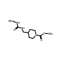 CC(C)(C)NC(=O)NCC1CCN(C(=O)OC(C)(C)C)CC1